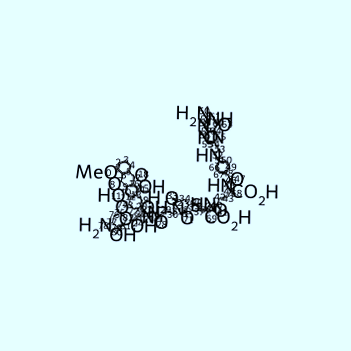 COc1cccc2c1C(=O)c1c(O)c3c(c(O)c1C2=O)C[C@@](O)(/C(CO)=N\NC(=O)CCN1C(=O)CC(SC[C@H](NC(=O)CC[C@H](NC(=O)c2ccc(NCc4cnc5nc(N)[nH]c(=O)c5n4)cc2)C(=O)O)C(=O)O)C1=O)C[C@@H]3O[C@H]1CC(N)C(O)=CO1